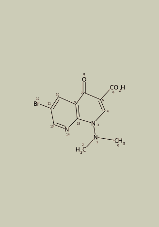 CN(C)n1cc(C(=O)O)c(=O)c2cc(Br)cnc21